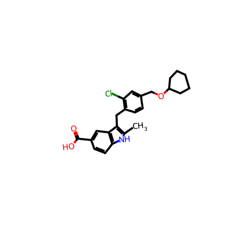 Cc1[nH]c2ccc(C(=O)O)cc2c1Cc1ccc(COC2CCCCC2)cc1Cl